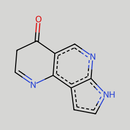 O=C1CC=Nc2c1cnc1[nH]ccc21